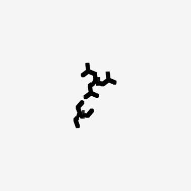 CC(C)[CH2][Al]([CH2]C(C)C)[CH2]C(C)C.C[CH2][Al]([CH2]C)[CH2]C